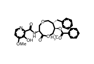 COc1ccnc(C(=O)N[C@H]2COC[C@H](Cc3ccccc3)[C@@H](OC(=O)c3ccccc3)[C@H](C)OC2=O)c1O